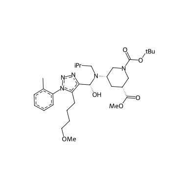 COCCCCc1c([C@@H](O)N(CC(C)C)[C@H]2C[C@@H](C(=O)OC)CN(C(=O)OC(C)(C)C)C2)nnn1-c1ccccc1C